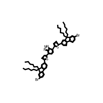 CCCCCCC1(CCCCCC)c2cc(Br)ccc2-c2ccc(-c3ccc(-c4ccc(-c5ccc(-c6ccc7c(c6)C(CCCCCC)(CCCCCC)c6cc(Br)ccc6-7)s5)c5nsnc45)s3)cc21